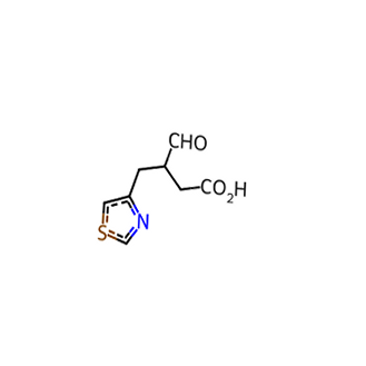 O=CC(CC(=O)O)Cc1cscn1